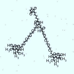 CC(C)[C@H](NC(=O)CCOCCOCCOCCOCCNC(=O)CC[C@H](NC(=O)CCCCCN1C(=O)C=CC1=O)C(=O)NCCOCCOCCOCCOCCC(=O)N[C@H](C(=O)N[C@@H](C)C(=O)O)C(C)C)C(=O)N[C@@H](C)C(=O)O